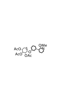 COc1ncccc1-c1cccc(O[C@H]2SC[C@@H](OC(C)=O)[C@H](OC(C)=O)[C@H]2OC(C)=O)c1